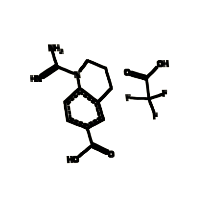 N=C(N)N1CCCc2cc(C(=O)O)ccc21.O=C(O)C(F)(F)F